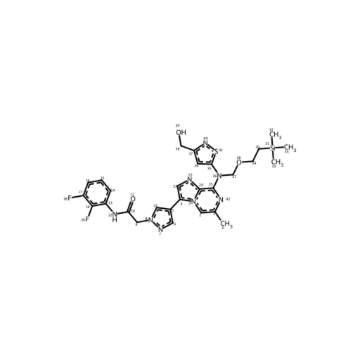 Cc1cn2c(-c3cnn(CC(=O)Nc4cccc(F)c4F)c3)cnc2c(N(COCC[Si](C)(C)C)c2cc(CO)ns2)n1